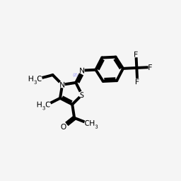 CCn1c(C)c(C(C)=O)s/c1=N\c1ccc(C(F)(F)F)cc1